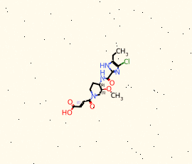 CCc1[nH]c(C(=O)N[C@@H]2CCN(C(=O)/C=C/C(=O)O)C[C@@H]2OC)nc1Cl